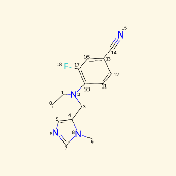 [CH2]CN(Cc1cncn1C)c1ccc(C#N)cc1F